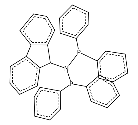 c1ccc(P(c2ccccc2)N(C2c3ccccc3-c3ccccc32)P(c2ccccc2)c2ccccc2)cc1